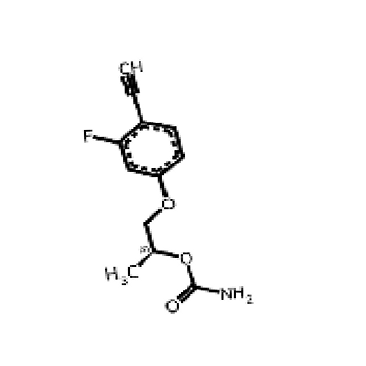 C#Cc1ccc(OC[C@H](C)OC(N)=O)cc1F